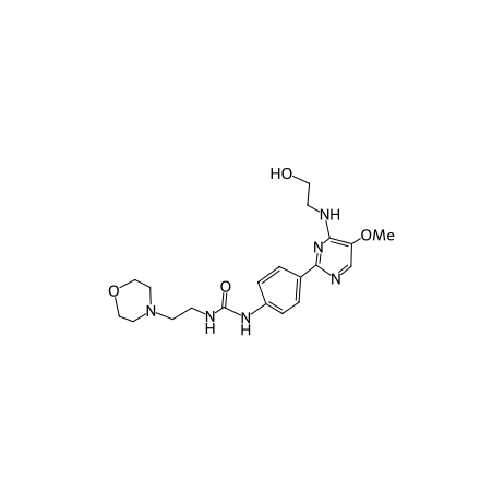 COc1cnc(-c2ccc(NC(=O)NCCN3CCOCC3)cc2)nc1NCCO